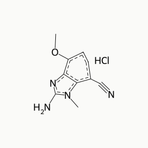 COc1ccc(C#N)c2c1nc(N)n2C.Cl